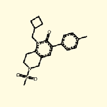 Cc1ccc(-c2cc3c(n(CC4CCC4)c2=O)CCN(S(C)(=O)=O)C3)cc1